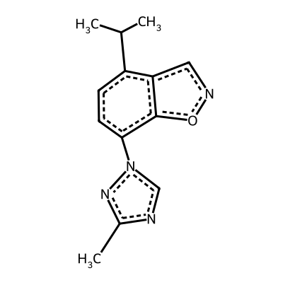 Cc1ncn(-c2ccc(C(C)C)c3cnoc23)n1